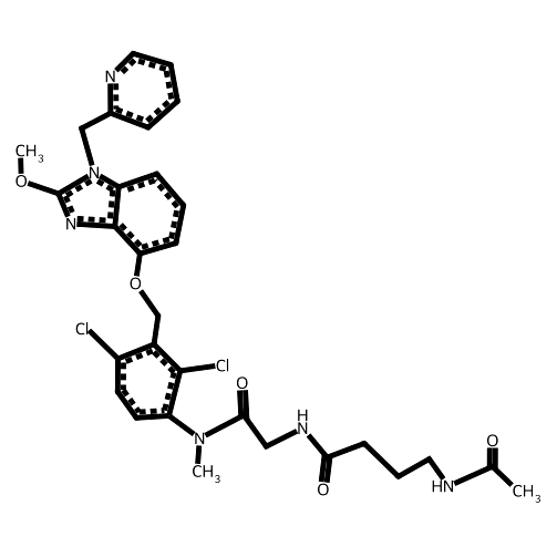 COc1nc2c(OCc3c(Cl)ccc(N(C)C(=O)CNC(=O)CCCNC(C)=O)c3Cl)cccc2n1Cc1ccccn1